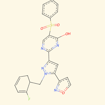 O=S(=O)(c1ccccc1)c1cnc(-c2cc(-c3ccon3)n(CC3CC=CC=C3F)n2)nc1O